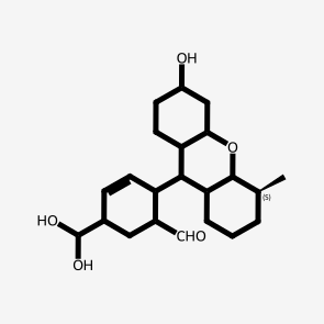 C[C@H]1CCCC2C(C3C=CC(C(O)O)CC3C=O)C3CCC(O)CC3OC21